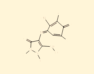 CCNc1c(/N=C2\C=C(C)C(=O)C(Cl)=C2N)c(=O)n(CC)n1CC